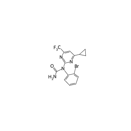 NC(=O)N(c1nc(C2CC2)cc(C(F)(F)F)n1)c1ccccc1Br